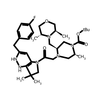 C[C@@H]1CN(CC(=O)N2CC(C)(C)C3=C2C=C(Cc2ccc(F)cc2)NN3)[C@@H](CN2[C@H](C)COC[C@H]2C)CN1C(=O)OC(C)(C)C